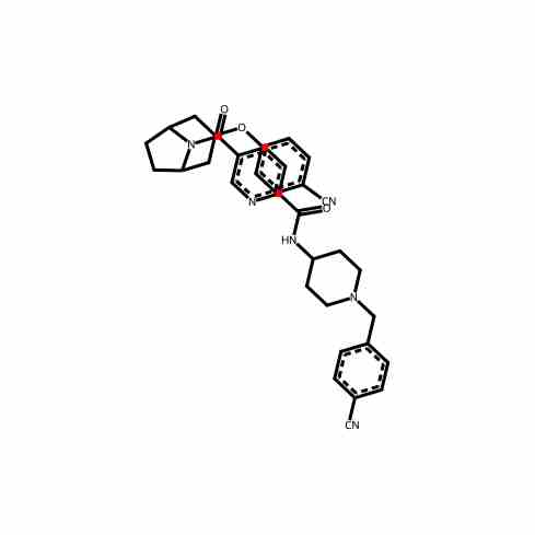 N#Cc1ccc(CN2CCC(NC(=O)c3ccc(C(=O)N4C5CCC4CC(Oc4ccc(C#N)cc4)C5)cn3)CC2)cc1